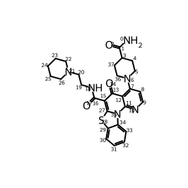 NC(=O)C1CCN(c2ccnc3c2c(=O)c(C(=O)NCCN2CCCCC2)c2sc4ccccc4n23)CC1